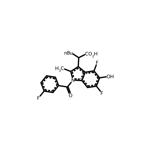 CCCCC(C(=O)O)c1c(C)n(C(=O)c2cccc(F)c2)c2cc(F)c(O)c(F)c12